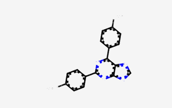 COc1ccc(-c2nc(-c3ccc(OC)cc3)c3nc[nH]c3n2)cc1